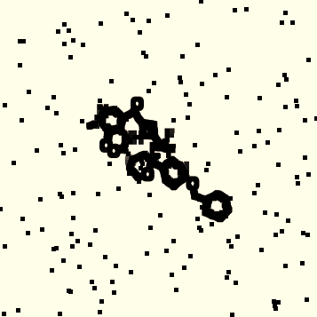 Cn1ncc(C(=O)C23CC(C(F)(F)F)(C2)C3)c(NC(=O)[C@H]2CCO[C@@](C)(c3ccc(OCc4ccccc4)nc3)C2)c1=O